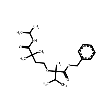 CC(C)NC(=O)C(C)(C)CCOC(C)(C(=O)OCc1ccccc1)C(C)C